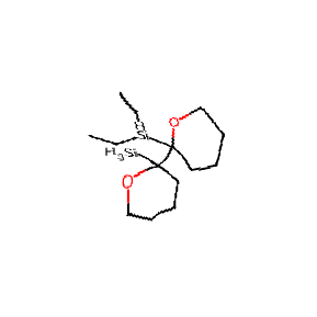 CC[SiH](CC)C1(C2([SiH3])CCCCO2)CCCCO1